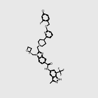 Cc1n[nH]c2c(C(F)(F)F)cc(NC(=O)c3ccc4c(c3)nc(CN3CCC(c5cccc(OCc6ccc(Cl)cc6F)n5)CC3)n4C[C@@H]3CCO3)cc12